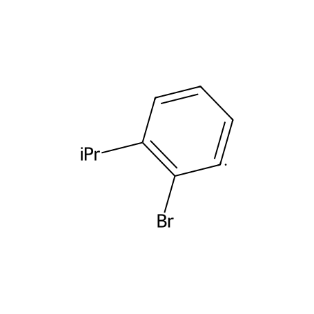 CC(C)c1ccc[c]c1Br